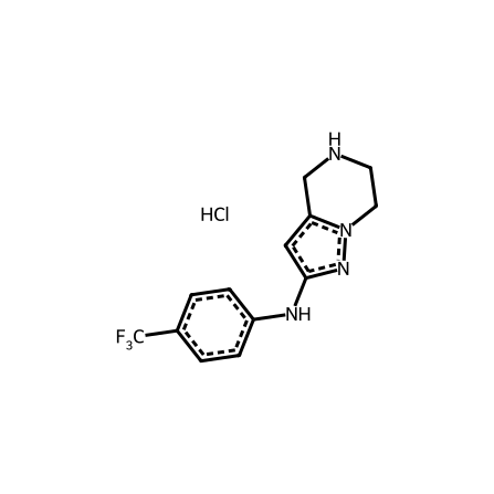 Cl.FC(F)(F)c1ccc(Nc2cc3n(n2)CCNC3)cc1